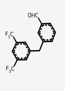 O=Cc1cccc(Cc2cc(C(F)(F)F)cc(C(F)(F)F)c2)c1